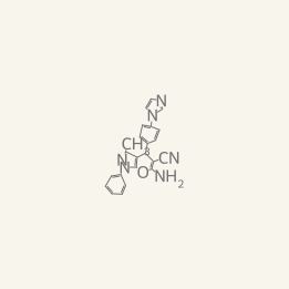 Cc1nn(-c2ccccc2)c2c1C(c1ccc(-n3ccnc3)cc1)C(C#N)=C(N)O2